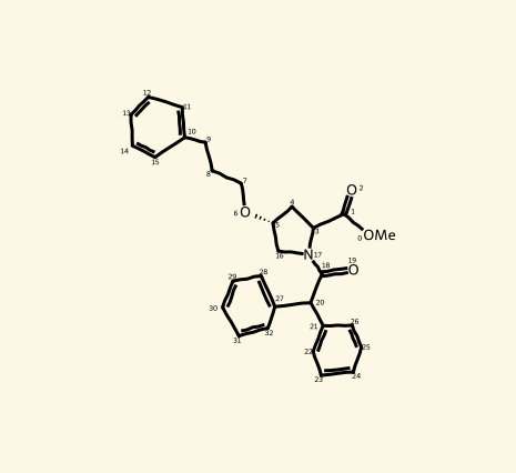 COC(=O)C1C[C@@H](OCCCc2ccccc2)CN1C(=O)C(c1ccccc1)c1ccccc1